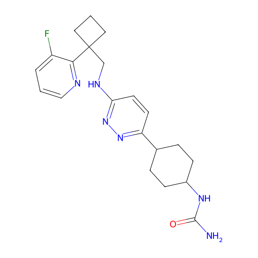 NC(=O)NC1CCC(c2ccc(NCC3(c4ncccc4F)CCC3)nn2)CC1